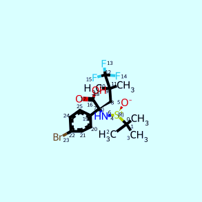 CC(C)(C)[S@+]([O-])N[C@@](CC(C)(C)C(F)(F)F)(C(=O)O)c1ccc(Br)cc1